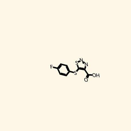 O=C(O)c1nnsc1Sc1ccc(F)cc1